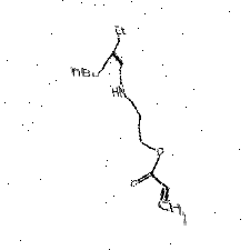 C=CC(=O)OCCNCC(CC)CCCC